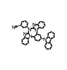 N#Cc1cccc(-n2c3nc4ccccc4n3c3ccc(-n4c5ccccc5c5ccccc54)cc3n3c4ccccc4nc23)c1